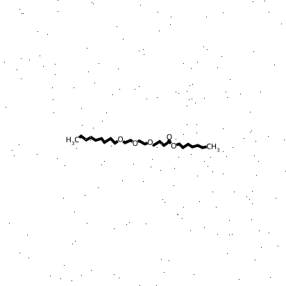 CCCCCCCCCOCCOCCOCCCC(=O)OCCCCCCC